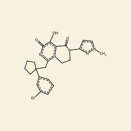 CCc1cccc(C2(Cc3nc(=O)c(O)c4n3CCN(c3ccn(C)n3)C4=O)CCCC2)c1